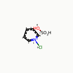 Cl[n+]1ccccc1.O=S(=O)(O)O